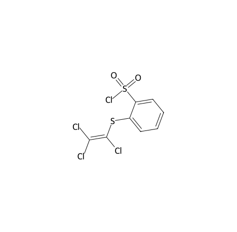 O=S(=O)(Cl)c1ccccc1SC(Cl)=C(Cl)Cl